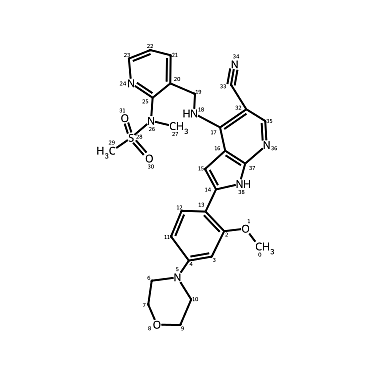 COc1cc(N2CCOCC2)ccc1-c1cc2c(NCc3cccnc3N(C)S(C)(=O)=O)c(C#N)cnc2[nH]1